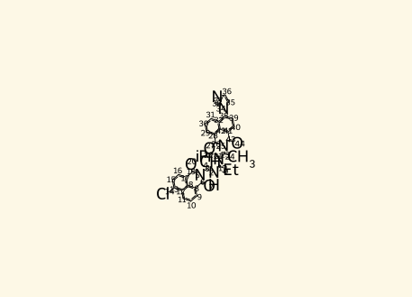 CCC(NC(C)N1C(=O)c2cccc3c(Cl)ccc(c23)C1=O)N(C(C)C)C(C)N1C(=O)c2cccc3c(-n4ccnc4)ccc(c23)C1=O